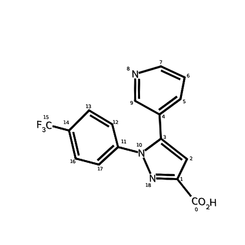 O=C(O)c1cc(-c2cccnc2)n(-c2ccc(C(F)(F)F)cc2)n1